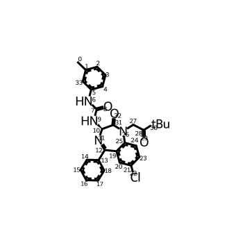 Cc1cccc(NC(=O)N[C@@H]2N=C(c3ccccc3)c3cc(Cl)ccc3N(CC(=O)C(C)(C)C)C2=O)c1